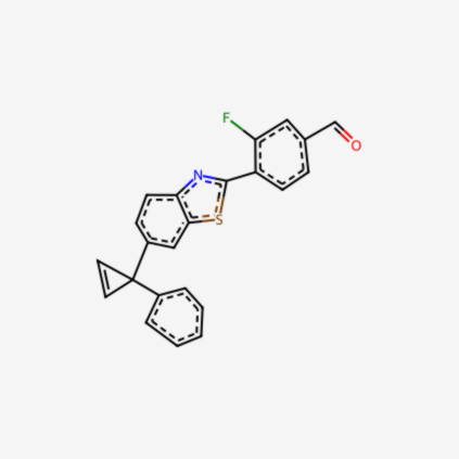 O=Cc1ccc(-c2nc3ccc(C4(c5ccccc5)C=C4)cc3s2)c(F)c1